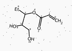 C=CC(=O)OC(CC)C(O)CO